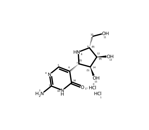 Cl.Cl.Nc1ncc([C@@H]2N[C@H](CO)[C@@H](O)[C@H]2O)c(=O)[nH]1